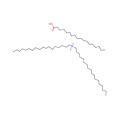 CCCCCCCCCCCCCCCCCC(=O)O.CCCCCCCCCCCCCCCCCC[N+](C)(C)CCCCCCCCCCCCCCCCCC